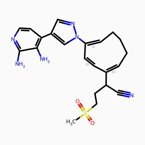 CS(=O)(=O)CCC(C#N)C1=C/CCC/C=C(n2cc(-c3ccnc(N)c3N)cn2)/C=C\1